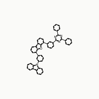 c1ccc(-c2nc(-c3ccccc3)nc(-c3cccc(-c4cccc5c4oc4c(-c6cccc(-n7c8ccccc8c8ccccc87)c6)cccc45)c3)n2)cc1